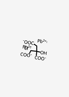 O=C([O-])CC(O)(CC(=O)[O-])C(=O)[O-].[Cl-].[Pb+2].[Pb+2]